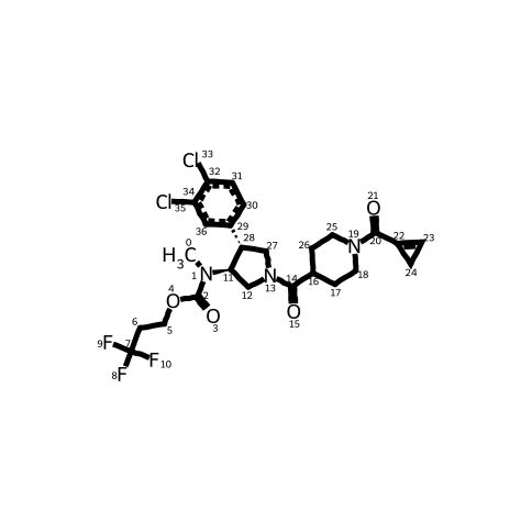 CN(C(=O)OCCC(F)(F)F)[C@@H]1CN(C(=O)C2CCN(C(=O)C3=CC3)CC2)C[C@H]1c1ccc(Cl)c(Cl)c1